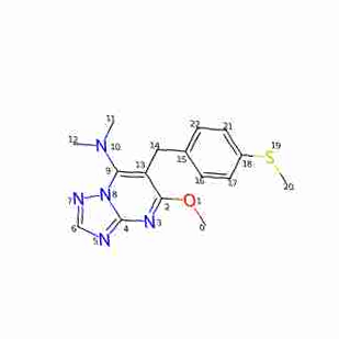 COc1nc2ncnn2c(N(C)C)c1Cc1ccc(SC)cc1